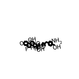 C[C@]12C=CC(=O)C=C1[C@@H](F)C[C@H]1[C@@H]3C[C@H]4O[C@@H](c5cc(Cc6ccc(CO)c(N)c6)co5)O[C@@]4(C(=O)CO)[C@@]3(C)C[C@H](O)[C@@]12F